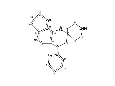 c1ccc(C2CC3(CCNCC3)Oc3c2ccc2ccccc32)cc1